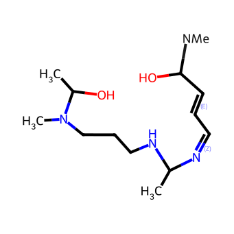 CNC(O)/C=C/C=N\C(C)NCCCN(C)C(C)O